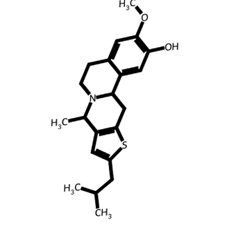 COc1cc2c(cc1O)C1Cc3sc(CC(C)C)cc3C(C)N1CC2